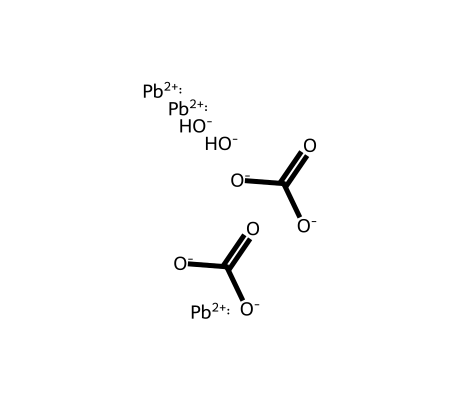 O=C([O-])[O-].O=C([O-])[O-].[OH-].[OH-].[Pb+2].[Pb+2].[Pb+2]